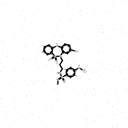 CN=S(=O)(NCCCN1c2cc(Cl)ccc2Oc2ccccc2S1(=O)=O)c1ccc(OC(F)(F)F)cc1